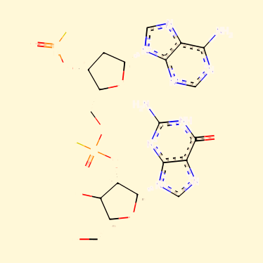 Nc1nc2c(ncn2[C@@H]2O[C@H](CO)C(O)[C@@H]2OP(=O)(S)OC[C@H]2O[C@@H](n3cnc4c(N)ncnc43)C[C@H]2O[PH](=O)S)c(=O)[nH]1